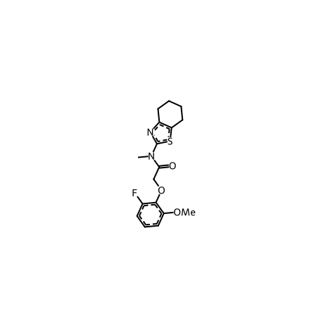 COc1cccc(F)c1OCC(=O)N(C)c1nc2c(s1)CCCC2